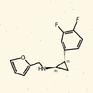 Fc1ccc([C@@H]2C[C@H]2NCc2ccco2)cc1F